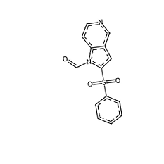 O=Cn1c(S(=O)(=O)c2ccccc2)cc2cnccc21